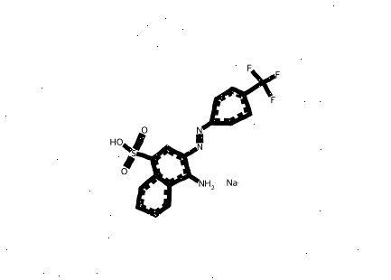 Nc1c(N=Nc2ccc(C(F)(F)F)cc2)cc(S(=O)(=O)O)c2ccccc12.[Na]